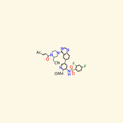 COc1ncc(-c2ccc3ncnc(N4CCN(C(=O)C=CC(C)=O)C(CC#N)C4)c3c2)cc1NS(=O)(=O)c1ccc(F)cc1F